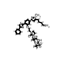 C[n+]1nn(-c2ccc(-c3nc(-c4ccccc4)cs3)c(OCCN3CCNC3=O)c2)cc1CCCCN.O=C(O)C(F)(F)F.O=S(=O)([O-])C(F)(F)F